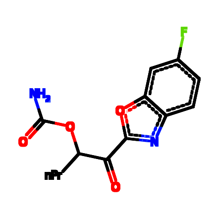 CCCC(OC(N)=O)C(=O)c1nc2ccc(F)cc2o1